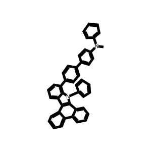 CN(c1ccccc1)c1ccc(-c2ccc(-c3cccc4c5c6ccccc6c6ccccc6c5n(-c5ccccc5)c34)cc2)cc1